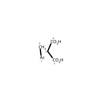 CC(C)=O.O=C(O)CC(=O)O